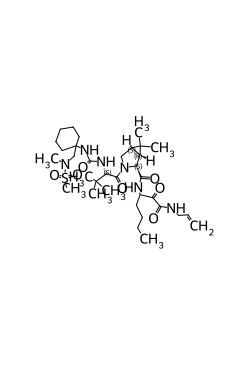 C=CCNC(=O)C(=O)C(CCCC)NC(=O)[C@@H]1[C@@H]2[C@H](CN1C(=O)[C@@H](NC(=O)NC1(CN(C)S(C)(=O)=O)CCCCC1)C(C)(C)C)C2(C)C